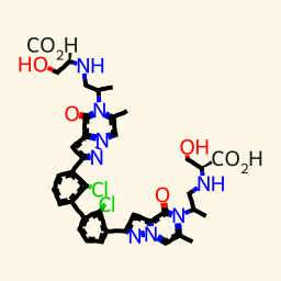 Cc1cn2nc(-c3cccc(-c4cccc(-c5cc6c(=O)n(C(C)CN[C@@H](CO)C(=O)O)c(C)cn6n5)c4Cl)c3Cl)cc2c(=O)n1C(C)CN[C@@H](CO)C(=O)O